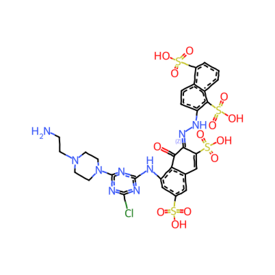 NCCN1CCN(c2nc(Cl)nc(Nc3cc(S(=O)(=O)O)cc4c3C(=O)/C(=N/Nc3ccc5c(S(=O)(=O)O)cccc5c3S(=O)(=O)O)C(S(=O)(=O)O)=C4)n2)CC1